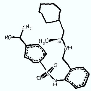 CC(O)c1ccc(S(=O)(=O)Nc2ccccc2CN[C@@H](C)CC2CCCCC2)cc1